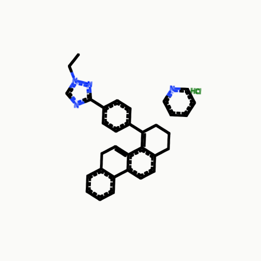 CCn1cnc(-c2ccc(C3=c4c(ccc5c4=CCc4ccccc4-5)CCC3)cc2)n1.Cl.c1ccncc1